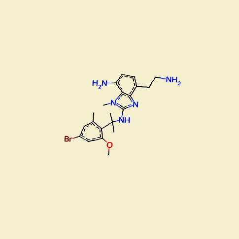 COc1cc(Br)cc(C)c1C(C)(C)Nc1nc2c(CCN)ccc(N)c2n1C